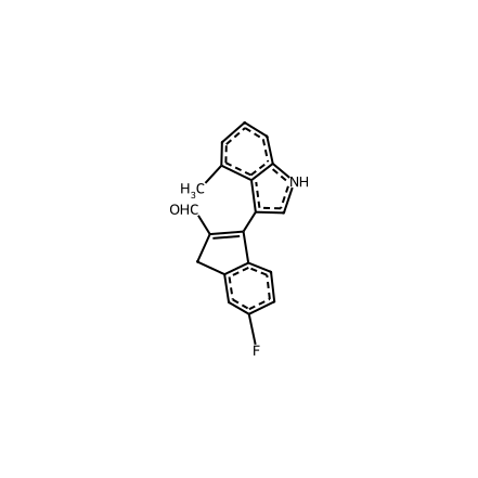 Cc1cccc2[nH]cc(C3=C(C=O)Cc4cc(F)ccc43)c12